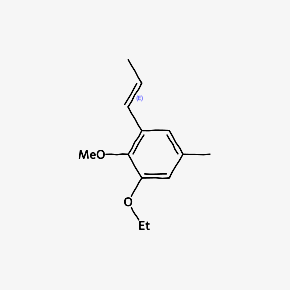 C/C=C/c1cc(C)cc(OCC)c1OC